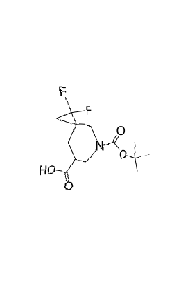 CC(C)(C)OC(=O)N1CC(C(=O)O)CC2(C1)CC2(F)F